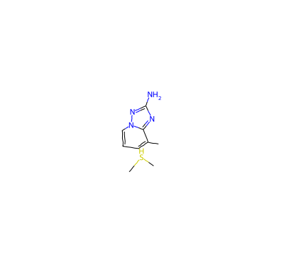 Cc1c([SH](C)C)ccn2nc(N)nc12